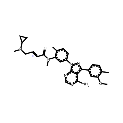 COc1cc(-c2nn(-c3ccc(F)c(N(C)C(=O)/C=C/CN(C)C4CC4)c3)c3ncnc(N)c23)ccc1C